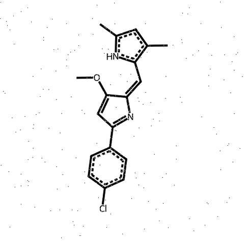 COC1=CC(c2ccc(Cl)cc2)=N/C1=C/c1[nH]c(C)cc1C